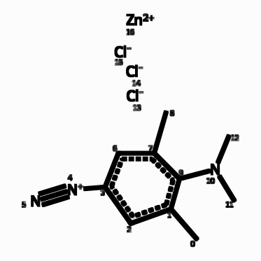 Cc1cc([N+]#N)cc(C)c1N(C)C.[Cl-].[Cl-].[Cl-].[Zn+2]